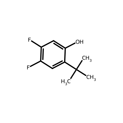 CC(C)(C)c1cc(F)c(F)cc1O